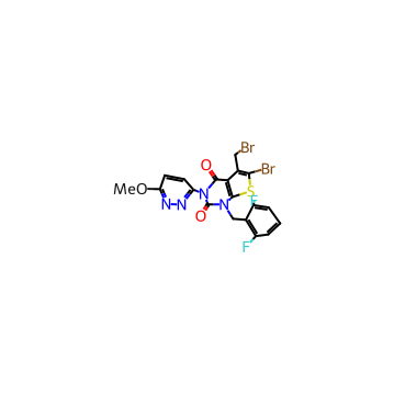 COc1ccc(-n2c(=O)c3c(CBr)c(Br)sc3n(Cc3c(F)cccc3F)c2=O)nn1